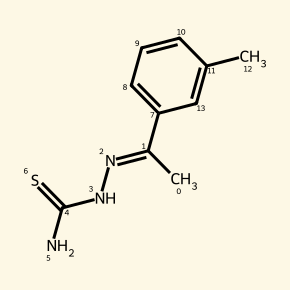 C/C(=N\NC(N)=S)c1cccc(C)c1